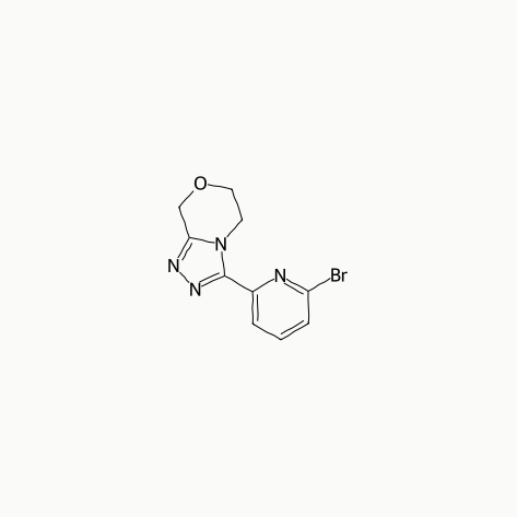 Brc1cccc(-c2nnc3n2CCOC3)n1